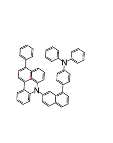 c1ccc(-c2ccc(-c3ccccc3N(c3ccccc3)c3ccc4cccc(-c5ccc(N(c6ccccc6)c6ccccc6)cc5)c4c3)cc2)cc1